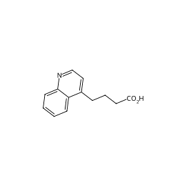 O=C(O)CCCc1ccnc2ccccc12